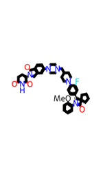 COc1cc(N2CCC(CN3CCN(c4ccc5c(c4)CN([C@H]4CCC(=O)NC4=O)C5=O)CC3)CC2)c(F)cc1[C@@H]1N(c2ccccc2)C(=O)C12CCCC2